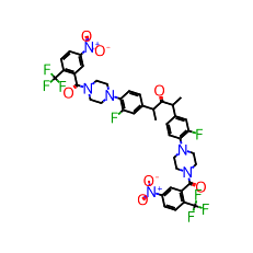 CC(C(=O)C(C)c1ccc(N2CCN(C(=O)c3cc([N+](=O)[O-])ccc3C(F)(F)F)CC2)c(F)c1)c1ccc(N2CCN(C(=O)c3cc([N+](=O)[O-])ccc3C(F)(F)F)CC2)c(F)c1